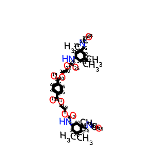 CC1(C)CC(NC(=O)OCCOC(=O)c2ccc(C(=O)OCCOC(=O)NC3CC(C)(C)CC(C)(CN=C=O)C3)cc2)CC(C)(CN=C=O)C1